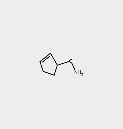 NOC1C=CCC1